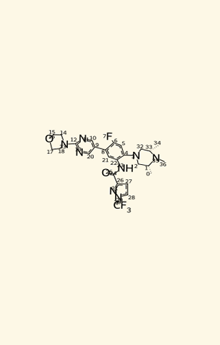 C[C@@H]1CN(c2cc(F)c(-c3cnc(N4CCOCC4)nc3)cc2NC(=O)c2ccn(C(F)(F)F)n2)C[C@H](C)N1C